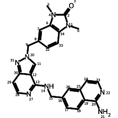 Cn1c(=O)n(C)c2cc(Cn3cc4c(NCc5ccc6c(N)nccc6c5)nccc4n3)ccc21